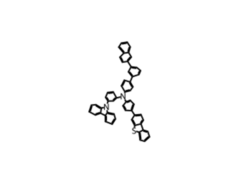 c1cc(-c2ccc(N(c3ccc(-c4ccc5c(c4)sc4ccccc45)cc3)c3cccc(-n4c5ccccc5c5ccccc54)c3)cc2)cc(-c2ccc3ccccc3c2)c1